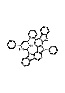 C1=C(c2ccccc2)NC(n2c3ccccc3c3ccc4c(c5ccc6c7ccccc7oc6c5n4-c4ccccc4)c32)NC1c1ccccc1